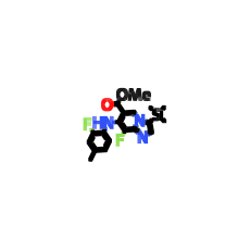 COC(=O)c1cn2c([Si](C)(C)C)cnc2c(F)c1Nc1ccc(C)cc1F